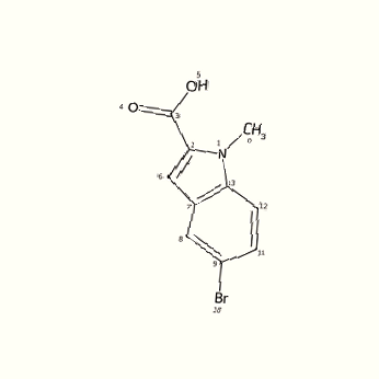 Cn1c(C(=O)O)cc2cc(Br)ccc21